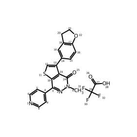 Cn1nc(-c2ccncc2)c2scc(-c3ccc4c(c3)CCO4)c2c1=O.O=C(O)C(F)(F)F